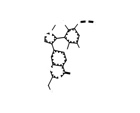 Cn1ncc(-c2ccc3c(=O)[nH]c(CN)nc3c2)c1-c1c(F)c(Cl)cc(N=[N+]=[N-])c1C#N